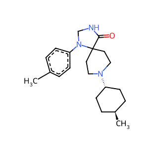 Cc1ccc(N2CNC(=O)C23CCN([C@H]2CC[C@H](C)CC2)CC3)cc1